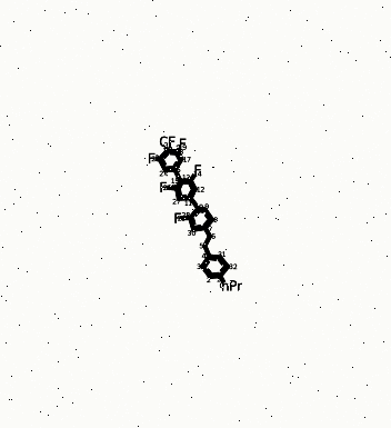 CCCc1ccc(CCc2ccc(-c3cc(F)c(-c4cc(F)c(C(F)(F)F)c(F)c4)c(F)c3)c(F)c2)cc1